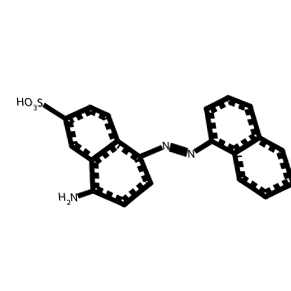 Nc1ccc(N=Nc2cccc3ccccc23)c2ccc(S(=O)(=O)O)cc12